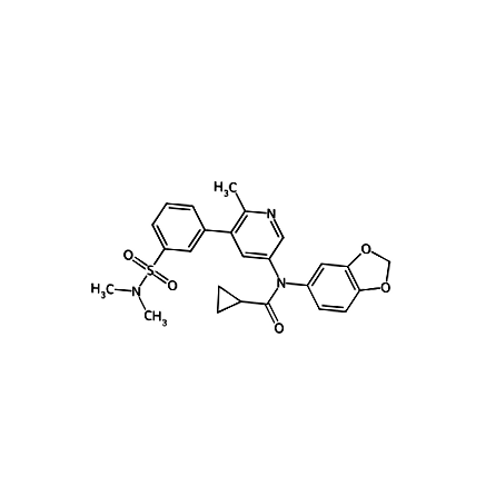 Cc1ncc(N(C(=O)C2CC2)c2ccc3c(c2)OCO3)cc1-c1cccc(S(=O)(=O)N(C)C)c1